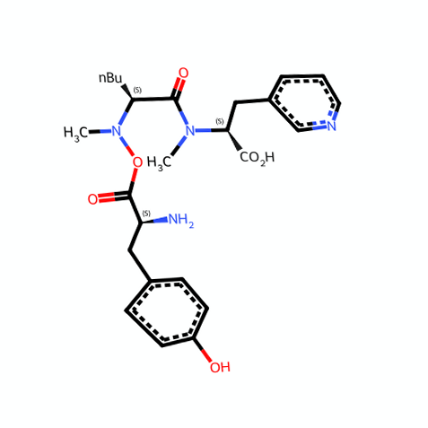 CCCC[C@@H](C(=O)N(C)[C@@H](Cc1cccnc1)C(=O)O)N(C)OC(=O)[C@@H](N)Cc1ccc(O)cc1